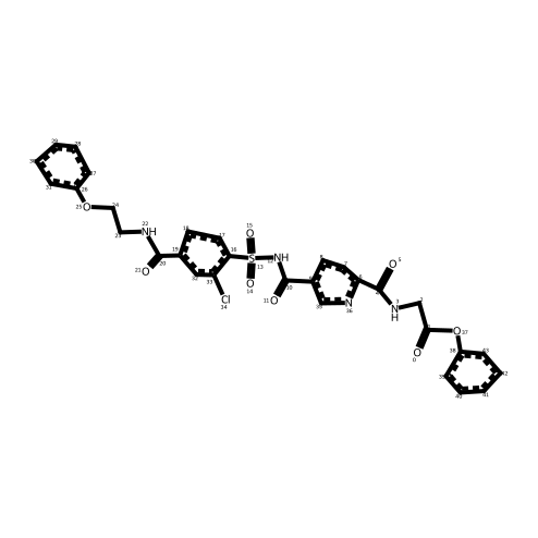 O=C(CNC(=O)c1ccc(C(=O)NS(=O)(=O)c2ccc(C(=O)NCCOc3ccccc3)cc2Cl)cn1)Oc1ccccc1